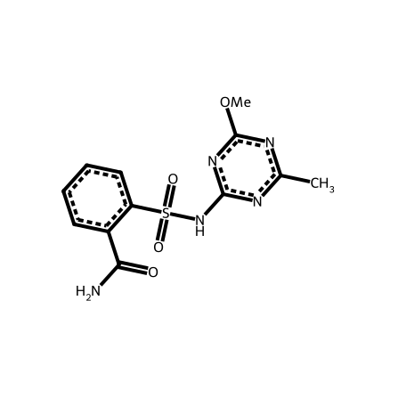 COc1nc(C)nc(NS(=O)(=O)c2ccccc2C(N)=O)n1